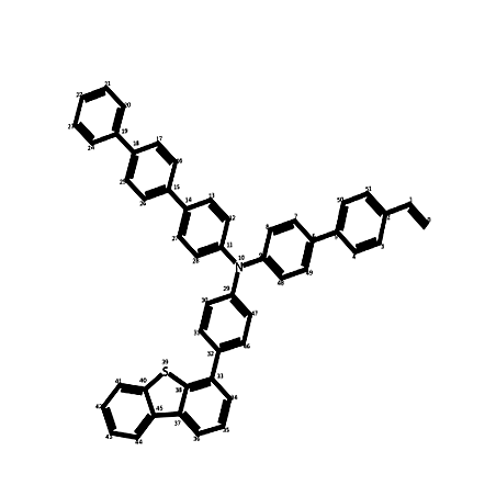 C=Cc1ccc(-c2ccc(N(c3ccc(-c4ccc(-c5ccccc5)cc4)cc3)c3ccc(-c4cccc5c4sc4ccccc45)cc3)cc2)cc1